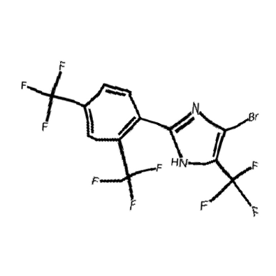 FC(F)(F)c1ccc(-c2nc(Br)c(C(F)(F)F)[nH]2)c(C(F)(F)F)c1